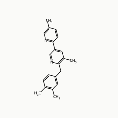 Cc1ccc(-c2cnc(Cc3ccc(C)c(C)c3)c(C)c2)nc1